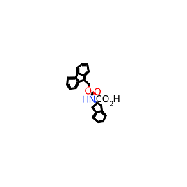 O=C(NC1(C(=O)O)Cc2ccccc2C1)OCC1c2ccccc2-c2ccccc21